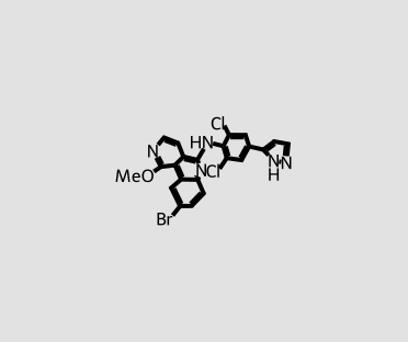 COc1nccc2c(Nc3c(Cl)cc(-c4ccn[nH]4)cc3Cl)nc3ccc(Br)cc3c12